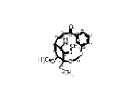 COC1=C(N)C2=CC(OC)C1(OC)OCOc1cccc(c1)C(=O)C=C2